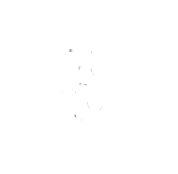 C#CC(C)(C)N1CCCCC1C(=O)N[C@H](C(=O)N(C)[C@H](/C=C(\C)C(=O)OCC)C(C)C)C(C)C